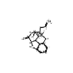 C=CCN1CC[C@@]23c4c5[c]ccc4C[C@@H]1[C@]2(O)CCC(=O)C3O5